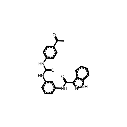 CC(=O)c1ccc(NC(=O)Nc2cccc(NC(=O)c3n[nH]c4ccccc34)c2)cc1